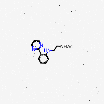 CC(=O)NCCNc1ccccc1-c1ncccn1